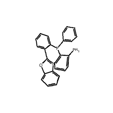 Pc1ccccc1P(c1ccccc1)c1ccccc1-c1nc2ccccc2o1